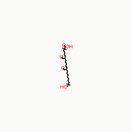 CC(C)(CO)CCCCCCCC(C=O)C=CCCCC(C=O)CCCCC(C)(C)C(=O)O